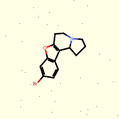 Brc1ccc2c3c(oc2c1)CCN1CCCC31